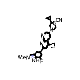 CN/C=C1/C=C(c2cc(Cl)c3cc(N4CCB(C#N)C(C5CC5)C4)cnc3n2)C=C(F)C1=N